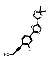 CC1(C)OC[C@@H](c2nnc(-c3ccc(C#CCO)c(Cl)c3)o2)O1